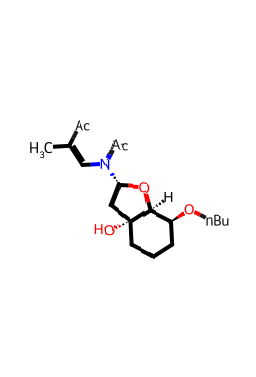 CCCCO[C@H]1CCC[C@@]2(O)C[C@H](N(/C=C(/C)C(C)=O)C(C)=O)O[C@@H]12